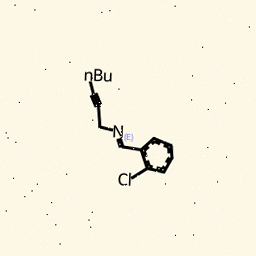 CCCCC#CC/N=C/c1ccccc1Cl